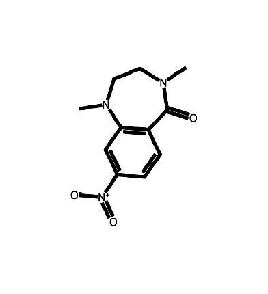 CN1CCN(C)c2cc([N+](=O)[O-])ccc2C1=O